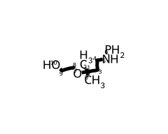 CC(C)(CCNP)OCCO